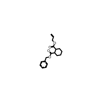 C=CCOC(=O)C1CCCCC1C(=O)OCc1ccccc1